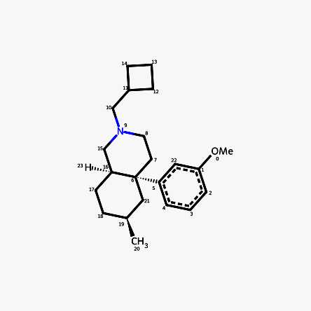 COc1cccc([C@@]23CCN(CC4CCC4)C[C@@H]2CC[C@H](C)C3)c1